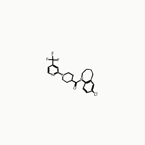 O=C(C1CCN(c2cc(C(F)(F)F)ccn2)CC1)N1CCCCc2cc(Cl)ccc21